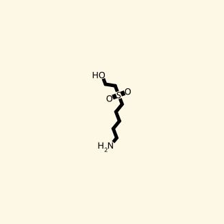 NCCCCCS(=O)(=O)CCO